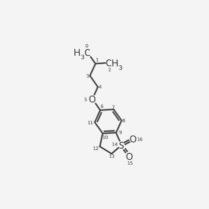 CC(C)CCOc1ccc2c(c1)CCS2(=O)=O